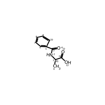 C[C@@H](NC(=O)c1ccccc1)C(=O)O